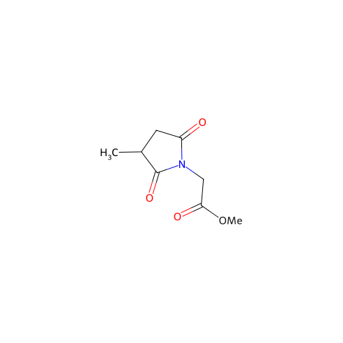 COC(=O)CN1C(=O)CC(C)C1=O